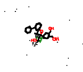 CCC(C)(C)C(Oc1cccc(-c2ccccc2)c1)(c1ccc(CO)c(CO)c1)C(F)(F)C(O)(F)C(F)(F)F